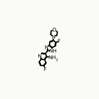 Nc1c(-c2nc3cc(N4CCOCC4)c(F)cc3[nH]2)cnc2ccc(F)cc12